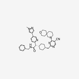 Cn1cc(-c2ccc(C(C(=O)NCc3ccccc3)[C@H]3CC[C@H](Cc4ncc(C#N)c(N5CCCC6(CCOCC6)C5)n4)CC3)nc2)cn1